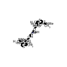 CN[C@@H](C)C(=S)N[C@H]1CCSC2CC(C)(C)[C@@H](C(=O)NCCOCCN/C=C(/COCCNC(=O)[C@H]3N4C(=O)[C@@H](NC(=S)[C@H](C)NC)CCSC4CC3(C)C)N=N)N2C1=O